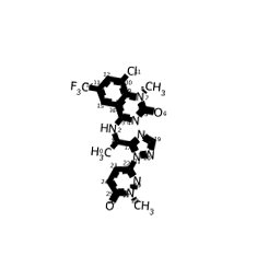 CC(Nc1nc(=O)n(C)c2c(Cl)cc(C(F)(F)F)cc12)c1ncnn1-c1ccc(=O)n(C)n1